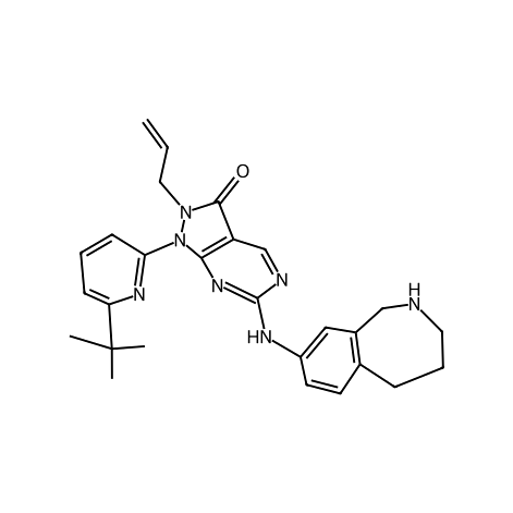 C=CCn1c(=O)c2cnc(Nc3ccc4c(c3)CNCCC4)nc2n1-c1cccc(C(C)(C)C)n1